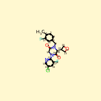 Cc1ccc(CN2C(=O)CN(c3ncc(Cl)cc3F)C(=O)[C@@H]2C2COC2)cc1F